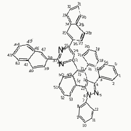 c1ccc(-c2nn(-c3ccccc3)c3c2c(-c2ccccc2)c(-c2cc(-c4ccc5ccccc5c4)nc(-c4ccc5ccccc5c4)n2)c2ccccc23)cc1